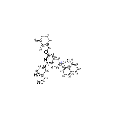 C=C1CCC[C@@H](COc2nc3c(c(N4CCN[C@@H](CC#N)C4)n2)CC/C(=C\c2cccc4cccc(Cl)c24)C3)C1C